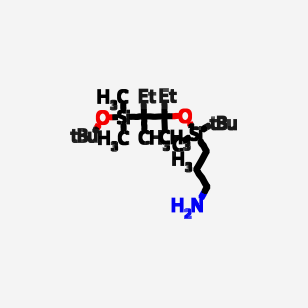 CCC(C)(O[Si](C)(CCCN)C(C)(C)C)C(C)(CC)[Si](C)(C)OC(C)(C)C